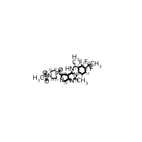 Cc1nc(N[C@H](C)c2cccc(C(C)(F)F)c2F)c2cc(P3(=O)CCN(S(C)(=O)=O)CC3)ncc2n1